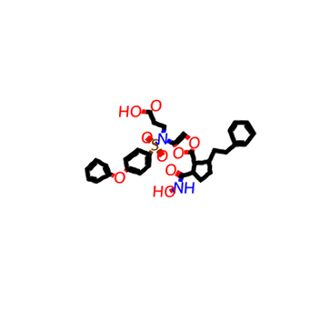 O=C(O)CCN(C1=COC(C2C(CCc3ccccc3)CCC2C(=O)NO)O1)S(=O)(=O)c1ccc(Oc2ccccc2)cc1